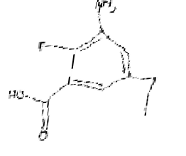 Nc1cc(CI)cc(C(=O)O)c1F